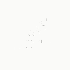 COC1=CC=CC2=NC(c3cccc(C4=NC5C(OC)=CC=CC5=N4)n3)=NC12.[Cl-].[Cl-].[Co+2]